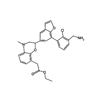 CCOC(=O)Cc1cccc2c1OC(c1cc(-c3cccc(CN)c3Cl)c3occc3c1)CN2C